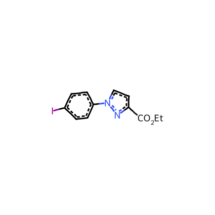 CCOC(=O)c1ccn(-c2ccc(I)cc2)n1